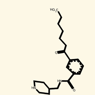 O=C(O)CCCCCC(=O)c1cccc(C(=O)NCC2CCNCC2)c1